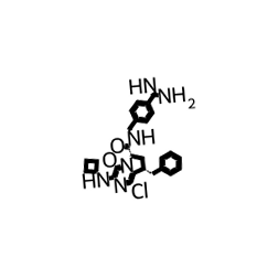 N=C(N)c1ccc(CNC(=O)[C@@H]2C[C@H](Cc3ccccc3)c3c(Cl)nc(NC4CCC4)c(=O)n32)cc1